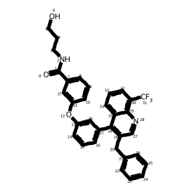 O=C(NCCCO)c1cccc(Oc2cccc(-c3c(Cc4ccccc4)cnc4c(C(F)(F)F)cccc34)c2)c1